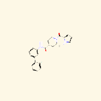 CC(C)n1cccc1C(=O)N1CCC(C(=O)Nc2cccc(-c3ccccc3F)c2)CC1